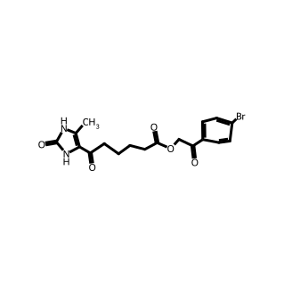 Cc1[nH]c(=O)[nH]c1C(=O)CCCCC(=O)OCC(=O)c1ccc(Br)cc1